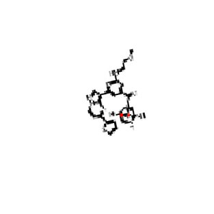 COCCNc1cc(C(=O)N2C[C@H]3CC[C@@H](C2)NC3)cc(-c2cnn3ccc(-c4cccs4)nc23)n1